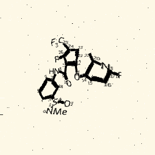 CN[S@+]([O-])c1cccc(NC(=O)c2c(Oc3ccc(F)nc3C)ccc(C(F)(F)F)c2F)c1